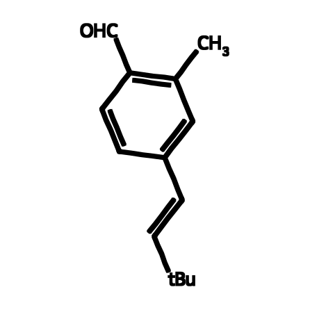 Cc1cc(/C=C/C(C)(C)C)ccc1C=O